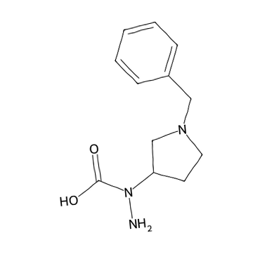 NN(C(=O)O)C1CCN(Cc2ccccc2)C1